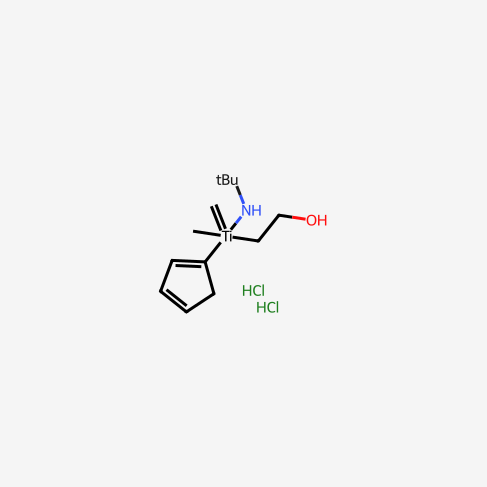 Cl.Cl.[CH2]=[Ti]([CH3])([CH2]CO)([NH]C(C)(C)C)[C]1=CC=CC1